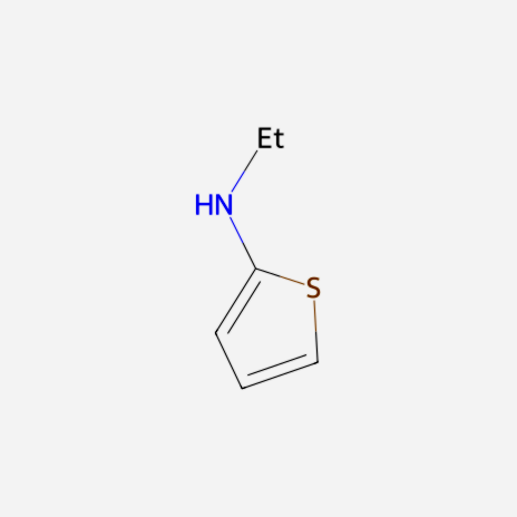 [CH2]CNc1cccs1